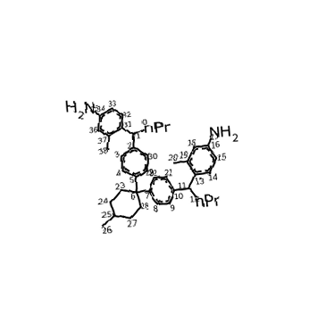 CCCC(c1ccc(C2(c3ccc(C(CCC)c4ccc(N)cc4C)cc3)CCC(C)CC2)cc1)c1ccc(N)cc1C